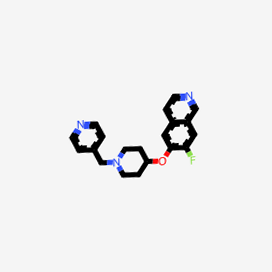 Fc1cc2cnccc2cc1OC1CCN(Cc2ccncc2)CC1